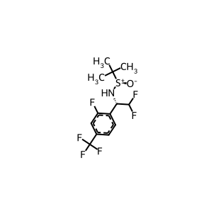 CC(C)(C)[S@@+]([O-])N[C@@H](c1ccc(C(F)(F)F)cc1F)C(F)F